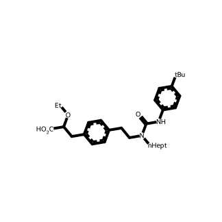 CCCCCCCN(CCc1ccc(CC(OCC)C(=O)O)cc1)C(=O)Nc1ccc(C(C)(C)C)cc1